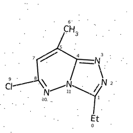 CCc1nnc2c(C)cc(Cl)nn12